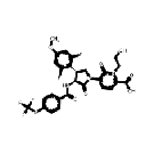 COc1cc(F)c([C@@H]2CN(c3ccc(C(=O)O)n(CCO)c3=O)C(=O)[C@H]2NC(=O)c2ccc(OC(F)(F)F)cc2)c(F)c1